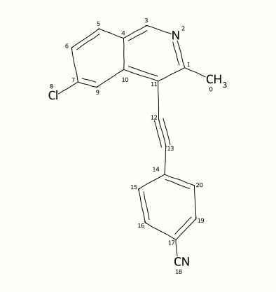 Cc1ncc2ccc(Cl)cc2c1C#Cc1ccc(C#N)cc1